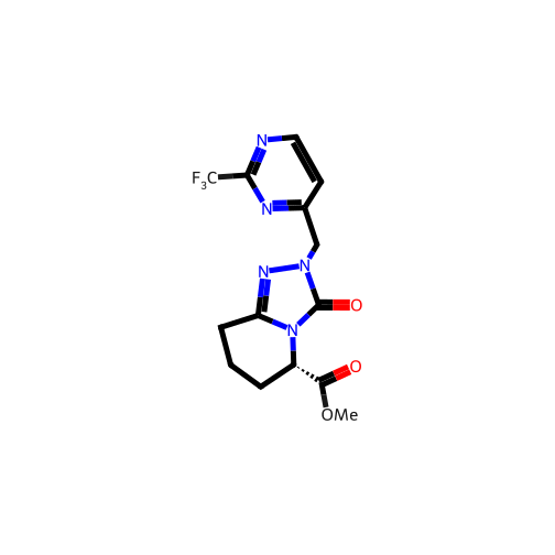 COC(=O)[C@@H]1CCCc2nn(Cc3ccnc(C(F)(F)F)n3)c(=O)n21